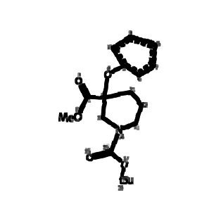 COC(=O)C1(Oc2ccccc2)CCCN(C(=O)OC(C)(C)C)C1